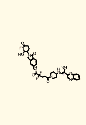 N=C/C(=C\NC1CCN(C(=O)CCC(F)(F)C(=O)NCc2ccc3c(c2)CN(C2CCC(=O)NC2O)C3=O)CC1)c1cnc2ccccc2n1